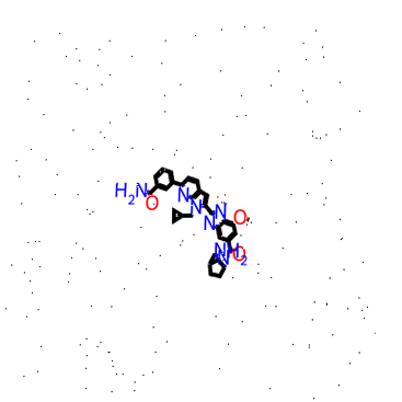 COc1cc(C(=O)N2CC3CCC2C3N)cc2nc(-c3cc4ccc(-c5cccc(C(N)=O)c5)nc4n3CC3CC3)n(C)c12